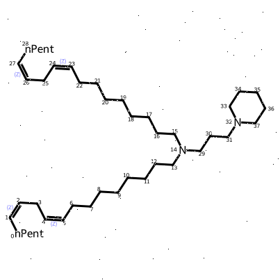 CCCCC/C=C\C/C=C\CCCCCCCCN(CCCCCCCC/C=C\C/C=C\CCCCC)CCCN1CCCCC1